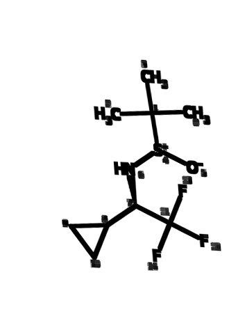 CC(C)(C)[S+]([O-])N[C@H](C1CC1)C(F)(F)F